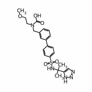 COCCN(Cc1cccc(-c2ccc(S(=O)(=O)NC(C)(C)c3cnn[nH]3)cc2)c1)C(=O)O